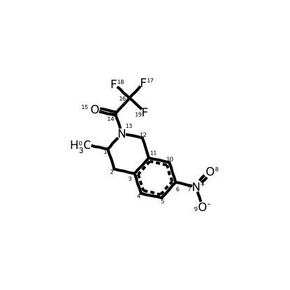 CC1Cc2ccc([N+](=O)[O-])cc2CN1C(=O)C(F)(F)F